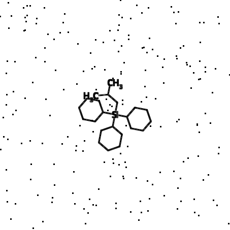 CC(C)C[Si](C1CCCCC1)(C1CCCCC1)C1CCCCC1